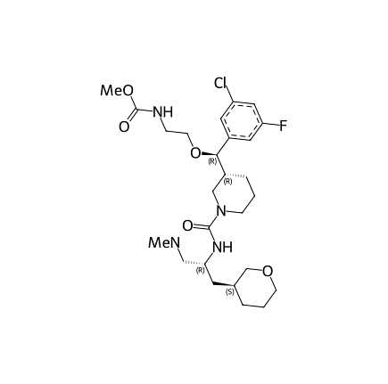 CNC[C@@H](C[C@@H]1CCCOC1)NC(=O)N1CCC[C@@H]([C@@H](OCCNC(=O)OC)c2cc(F)cc(Cl)c2)C1